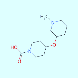 CN1CCCC(OC2CCN(C(=O)O)CC2)C1